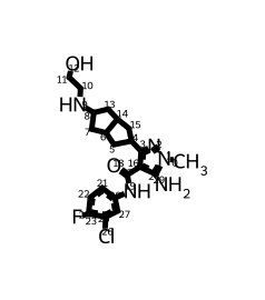 Cn1nc(C2CC3CC(NCCO)CC3C2)c(C(=O)Nc2ccc(F)c(Cl)c2)c1N